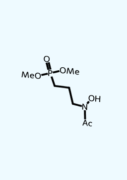 COP(=O)(CCCN(O)C(C)=O)OC